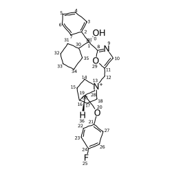 O[C@](c1ccccc1)(c1ncc(C[N+]23CCC(CC2)[C@@H](Oc2ccc(F)cc2)C3)o1)C1CCCCC1